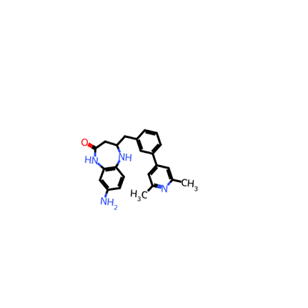 Cc1cc(-c2cccc(CC3CC(=O)Nc4cc(N)ccc4N3)c2)cc(C)n1